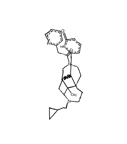 O=C(Cc1ccccn1)N1CCC23CCN(CC4CC4)C(Cc4ccc(-c5cccc(=O)[nH]5)cc42)C3(O)CC1